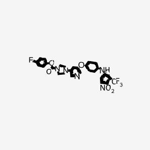 O=C(Oc1ccc(F)cc1)N1CCN(c2cncc(O[C@H]3CC[C@H](Nc4ccc([N+](=O)[O-])c(C(F)(F)F)c4)CC3)c2)CC1